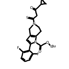 CC(C)(C)OC(=O)n1c(-c2c(F)cccc2F)cc2c1CCN(C(=S)CC(=O)C1CC1)C2